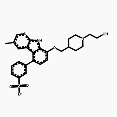 CCS(=O)(=O)c1cccc(-c2ccc(OCC3CCN(CCO)CC3)c3[nH]c4ncc(C)cc4c23)c1